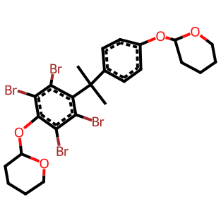 CC(C)(c1ccc(OC2CCCCO2)cc1)c1c(Br)c(Br)c(OC2CCCCO2)c(Br)c1Br